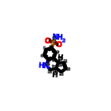 NS(=O)(=O)c1ccc2c(c1)[C@H]1C=CC[C@H]1CN2